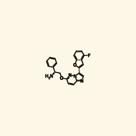 N[C@H](COc1ccc2ncc(-c3cc4c(F)cccc4o3)n2n1)c1ccccc1